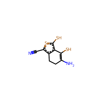 N#Cc1sc(S)c2c1CCC(N)=C2S